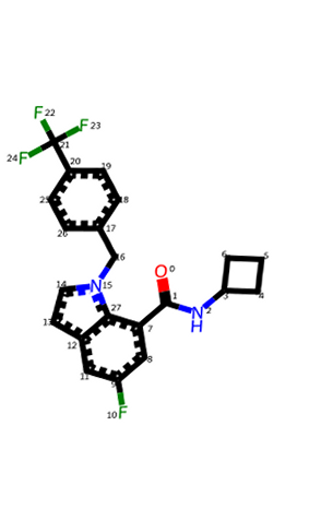 O=C(NC1CCC1)c1cc(F)cc2ccn(Cc3ccc(C(F)(F)F)cc3)c12